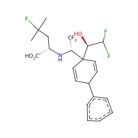 CC(C)(F)C[C@H](N[C@H](C(F)(F)F)C1([C@@H](O)C(F)F)C=CC(c2ccccc2)C=C1)C(=O)O